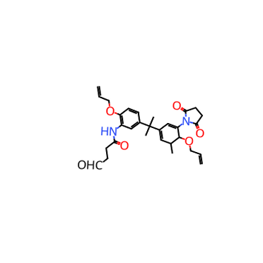 C=CCOc1ccc(C(C)(C)C2=CC(C)C(OCC=C)C(N3C(=O)CCC3=O)=C2)cc1NC(=O)CCC=O